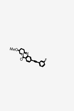 COC1CCc2nc3cc(C#Cc4cccc(F)c4)ccc3c(=O)n2C1